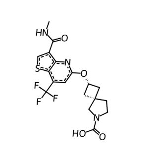 CNC(=O)c1csc2c(C(F)(F)F)cc(O[C@H]3C[C@@]4(CCN(C(=O)O)C4)C3)nc12